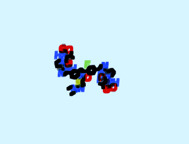 CCN(CC)c1ncc(C2Oc3cc(-c4cnc([C@@H]5CCCN5C(=O)[C@@H](NC(=O)OC)C(C)C)[nH]4)cc(F)c3-c3cc4cc(-c5cnc([C@@H]6CCCN6C(=O)[C@@H](NC(=O)OC)C(C)C)[nH]5)ccc4n32)s1